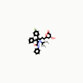 CC(C)n1c(CCC2C[C@@H](O)CC(=O)O2)c(-c2ccc(F)cc2)c(-c2ccccc2)c1C(=O)Nc1ccccc1